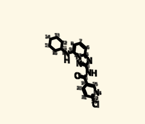 O=C(Nc1nc2cccc(NC3CCCCC3)n2n1)c1ccc(Cl)nc1